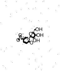 O=c1ccc([N+](=O)[O-])cn1[C@@H]1O[C@H](CO)[C@@H](O)[C@H]1O